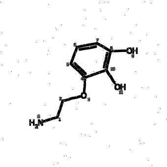 NCCOc1cccc(O)c1O